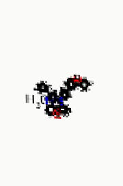 Cc1c(C2=CCCc3oc4cccc(Nc5ccc(-c6ccc7oc8c(c7c6)CCC=C8)cc5)c4c32)cccc1-c1ccccc1